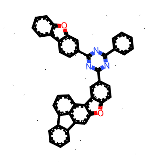 c1ccc(-c2nc(-c3ccc4c(c3)oc3ccccc34)nc(-c3ccc4oc5cc6c7c(cccc7c5c4c3)-c3ccccc3-6)n2)cc1